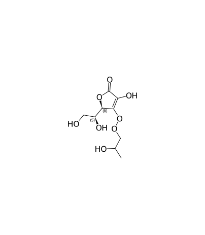 CC(O)COOC1=C(O)C(=O)O[C@@H]1[C@@H](O)CO